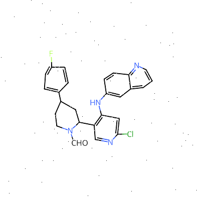 O=CN1CCC(c2ccc(F)cc2)CC1c1cnc(Cl)cc1Nc1ccc2ncccc2c1